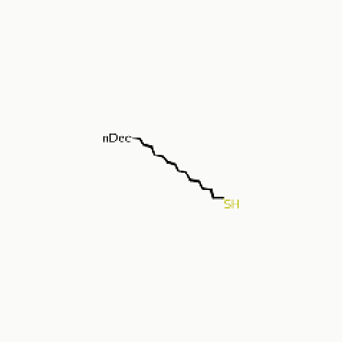 CCCCCCCCCCCCCCCCCCCCCCCCCS